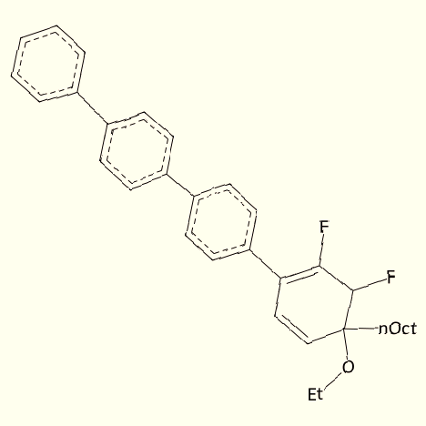 CCCCCCCCC1(OCC)C=CC(c2ccc(-c3ccc(-c4ccccc4)cc3)cc2)=C(F)C1F